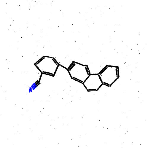 N#Cc1cccc(-c2ccc3c(ccc4ccccc43)c2)c1